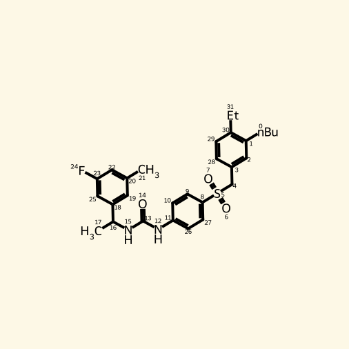 CCCCc1cc(CS(=O)(=O)c2ccc(NC(=O)NC(C)c3cc(C)cc(F)c3)cc2)ccc1CC